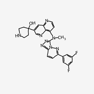 CN(c1ccnc2cc(C3(O)CCNCC3)cnc12)c1nnc2ccc(-c3cc(F)cc(F)c3)nn12